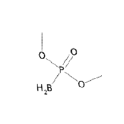 BP(=O)(OC)OC